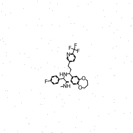 C=C(NC)[C@H](N[C@@H](CCc1ccc(C(F)(F)F)nc1)c1ccc2c(c1)OCCCO2)c1ccc(F)cc1